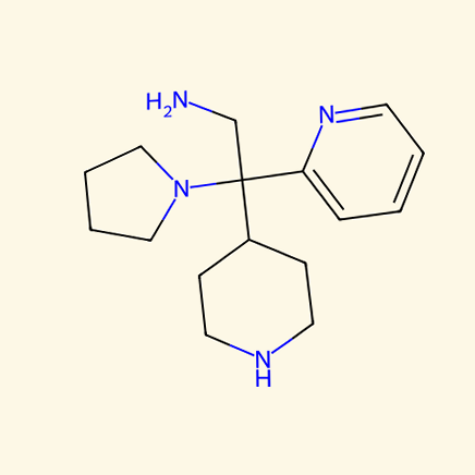 NCC(c1ccccn1)(C1CCNCC1)N1CCCC1